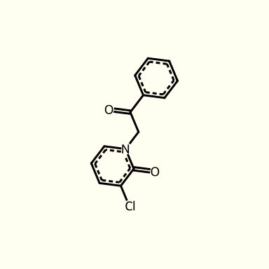 O=C(Cn1cccc(Cl)c1=O)c1ccccc1